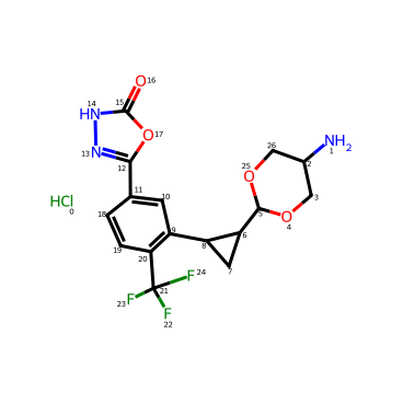 Cl.NC1COC(C2CC2c2cc(-c3n[nH]c(=O)o3)ccc2C(F)(F)F)OC1